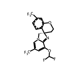 FC(F)OC1=CC(C(F)(F)F)=CN2C[C@]3(CCOc4cc(C(F)(F)F)ccc43)N=C12